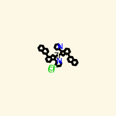 C1=[C]([Zr+2][C]2=Cc3c(-c4ccc5ccccc5c4)cccc3C2c2ccccn2)C(c2ccccn2)c2cccc(-c3ccc4ccccc4c3)c21.[Cl-].[Cl-]